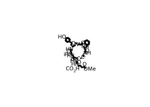 COC(=O)CC[C@H](NC(=O)N[C@@H]1CCCCNC(=O)[C@H](Cc2ccccc2)NC(=O)[C@H](C)N(C)C(=O)[C@H](CCc2ccc(O)cc2)NC(=O)[C@H](C(C)C)NC1=O)C(=O)O